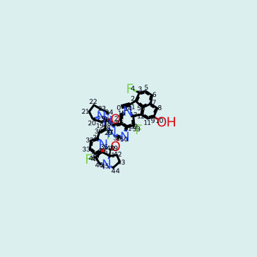 C#Cc1c(F)ccc2cc(O)cc(-c3ncc4c(N5CC6CCC(C5)N6C(=O)/C(F)=C/c5ccccn5)nc(OC[C@@]56CCCN5C[C@H](F)C6)nc4c3F)c12